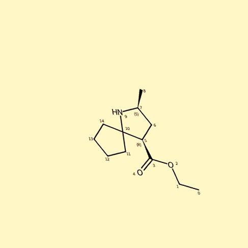 CCOC(=O)[C@@H]1C[C@H](C)NC12CCCC2